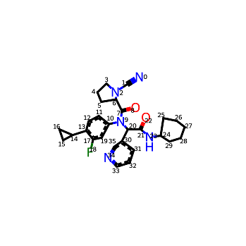 N#CN1CCCC1C(=O)N(c1ccc(C2CC2)c(F)c1)C(C(=O)NC1CCCCC1)c1cccnc1